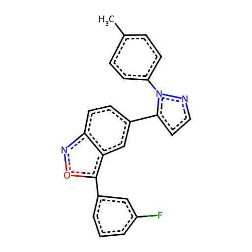 Cc1ccc(-n2nccc2-c2ccc3noc(-c4cccc(F)c4)c3c2)cc1